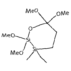 COC1(OC)CC[Si](C)(C)[Si](OC)(OC)O1